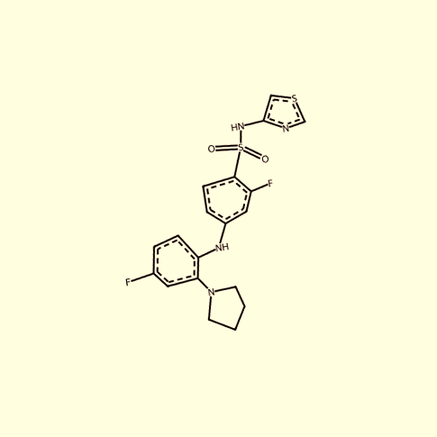 O=S(=O)(Nc1cscn1)c1ccc(Nc2ccc(F)cc2N2CCCC2)cc1F